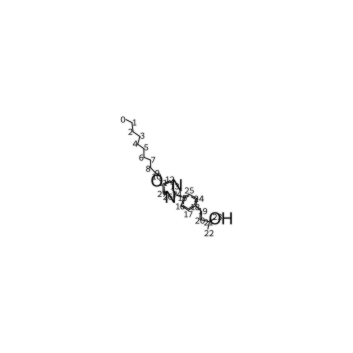 CCCCCCCCCCOc1cnc(-c2ccc(C=CC(C)O)cc2)nc1